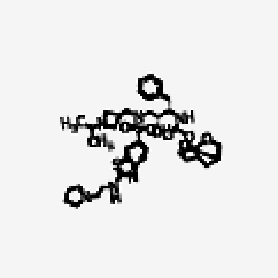 CC(C)N1CC(CN(C[C@@H](O)[C@H](Cc2ccccc2)NC(=O)OC2C3COC4OC2CC4C3)S(=O)(=O)c2ccc3nc(NCCN4CCCC4)sc3c2)C1